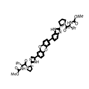 COC(=O)N[C@H](C(=O)N1CCC[C@H]1c1ncc(-c2ccc3c(c2)Oc2ccc(-c4ccc5nc([C@@H]6CCCN6C(=O)[C@@H](NC(=O)OC)C(C)C)[nH]c5c4)cc2O3)[nH]1)C(C)C